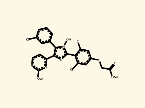 COC(=O)COc1cc(Cl)c(-c2nc(-c3ccnc(SC)n3)c(-c3cccc(Cl)c3)n2O)c(Cl)c1